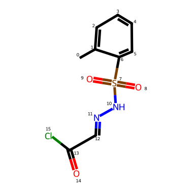 Cc1ccccc1S(=O)(=O)NN=CC(=O)Cl